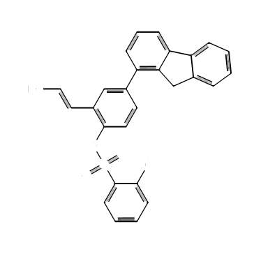 CC=Cc1cc(-c2cccc3c2Cc2ccccc2-3)ccc1OS(=O)(=O)c1ccccc1C